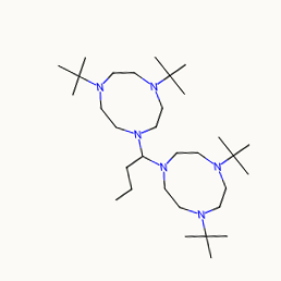 CCCC(N1CCN(C(C)(C)C)CCN(C(C)(C)C)CC1)N1CCN(C(C)(C)C)CCN(C(C)(C)C)CC1